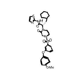 COc1ccc(Oc2cccc(S(=O)(=O)N3CCN([C@@H](CC4CCCCC4)C(=O)Nc4nccs4)C(=O)C3)c2)cc1